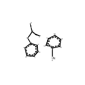 CC(C)Cc1ccccc1.Oc1ccccc1